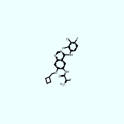 C=C(F)C(=O)Nc1cc2c(Nc3ccc(F)c(Cl)c3F)ncnc2cc1OCC1CCC1